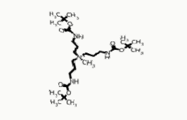 CC(C)(C)OC(=O)NCCC[N+](C)(CCCNC(=O)OC(C)(C)C)CCCNC(=O)OC(C)(C)C